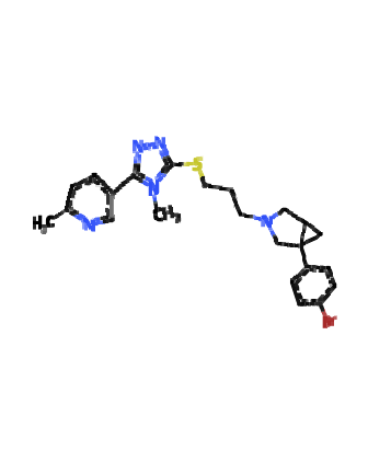 Cc1ccc(-c2nnc(SCCCN3CC4CC4(c4ccc(Br)cc4)C3)n2C)cn1